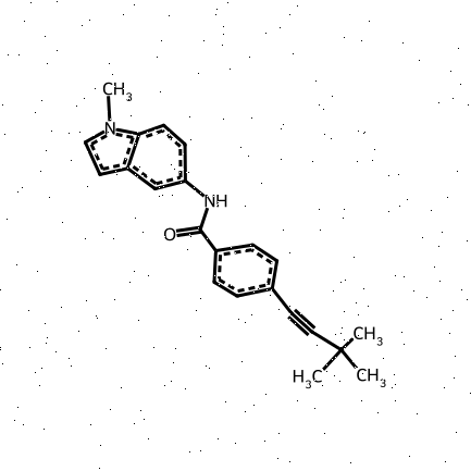 Cn1ccc2cc(NC(=O)c3ccc(C#CC(C)(C)C)cc3)ccc21